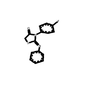 O=C1CSC(=Nc2ccccc2)N1c1ccc(F)cc1